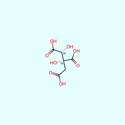 O=C(O)C[C@](O)(C(=O)O)[C@@H](O)C(=O)O